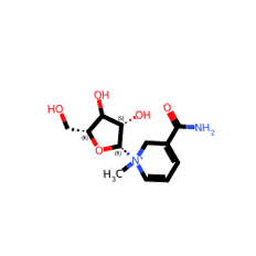 C[N+]1([C@@H]2O[C@H](CO)C(O)[C@@H]2O)C=CC=C(C(N)=O)C1